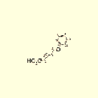 O=C(O)CSCCOc1ccccc1